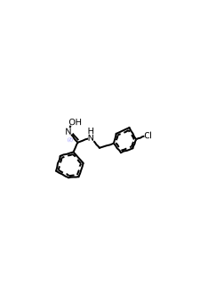 O/N=C(\NCc1ccc(Cl)cc1)c1ccccc1